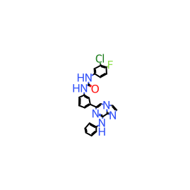 O=C(Nc1cccc(-c2cn3ccnc3c(Nc3ccccc3)n2)c1)Nc1ccc(F)c(Cl)c1